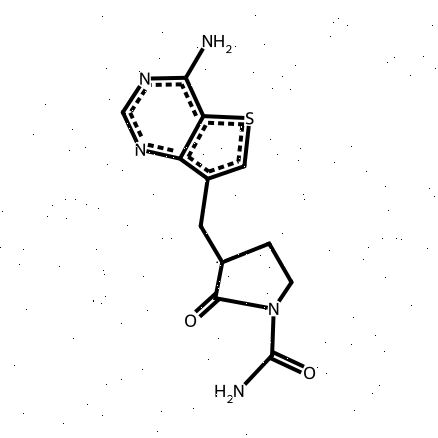 NC(=O)N1CC[C](Cc2csc3c(N)ncnc23)C1=O